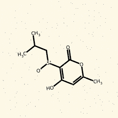 Cc1cc(O)c([S+]([O-])CC(C)C)c(=O)o1